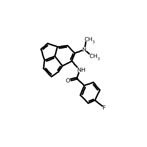 CN(C)c1cc2c3c(cccc3c1NC(=O)c1ccc(F)cc1)C=C2